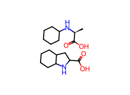 C[C@H](NC1CCCCC1)C(=O)O.O=C(O)C1CC2CCCCC2N1